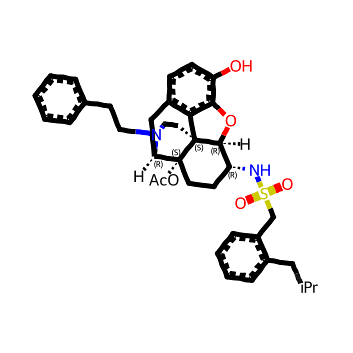 CC(=O)O[C@@]12CC[C@@H](NS(=O)(=O)Cc3ccccc3CC(C)C)[C@@H]3Oc4c(O)ccc5c4[C@@]31CCN(CCc1ccccc1)[C@@H]2C5